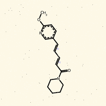 COc1ccc(/C=C/C=C/C(=O)N2CCCCC2)cn1